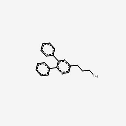 OCCCc1cnc(-c2ccccc2)c(-c2ccccc2)n1